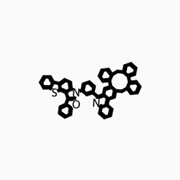 c1cc(-c2nc3ccccc3c3cc4c(cc23)-c2ccccc2Cc2ccccc2-c2ccccc2C4)cc(-n2c3ccc4c5ccccc5sc4c3c3c4ccccc4oc32)c1